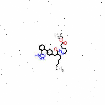 CCCCCc1c(Cc2ccc(-c3ccccc3-c3nnn[nH]3)cc2)c(=O)n2n1CCCC2CC(=O)OCC